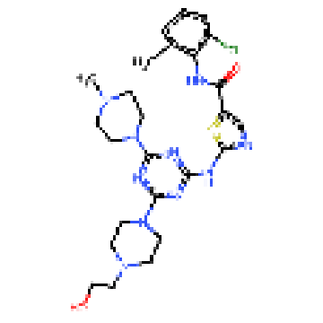 Cc1cccc(Cl)c1NC(=O)c1cnc(Nc2nc(N3CCN(C)CC3)nc(N3CCN(CCO)CC3)n2)s1